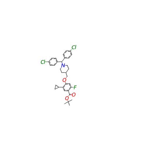 CC(C)(C)OC(=O)c1cc(C2CC2)c(OCC2CCN(C(c3ccc(Cl)cc3)c3ccc(Cl)cc3)CC2)cc1F